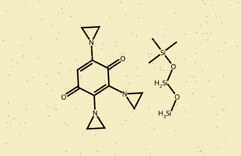 C[Si](C)(C)O[SiH2]O[SiH3].O=C1C=C(N2CC2)C(=O)C(N2CC2)=C1N1CC1